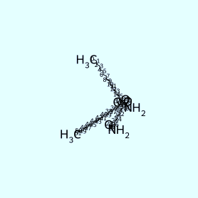 CCCCCCCCC=CCCCCCCCC(=O)C(CCCCCCCC(N)=O)(C(N)=O)C(=O)CCCCCCCC=CCCCCCCCC